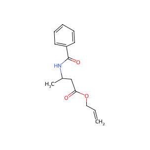 C=CCOC(=O)CC(C)NC(=O)c1ccccc1